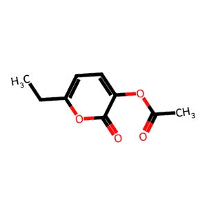 CCc1ccc(OC(C)=O)c(=O)o1